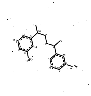 CC(C)c1cncc(C(C)CCC(C)c2cncc(C(C)C)c2)c1